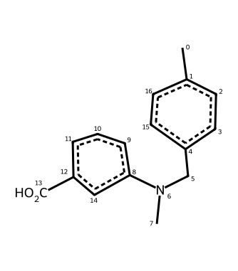 Cc1ccc(CN(C)c2cccc(C(=O)O)c2)cc1